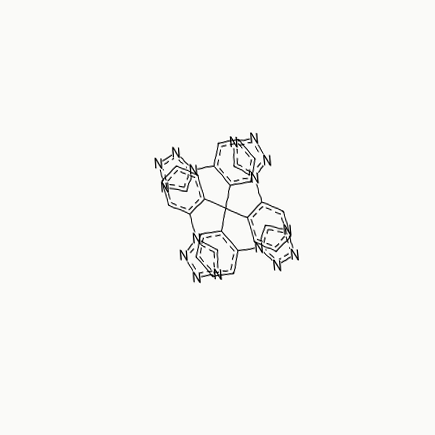 c1ccc(C(c2ccccc2-n2cnnn2)(c2ccccc2-n2cnnn2)c2ccccc2-n2cnnn2)c(-n2cnnn2)c1